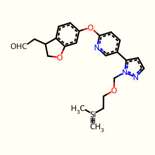 C[SiH](C)CCOCn1nccc1-c1ccc(Oc2ccc3c(c2)OCC3CC=O)nc1